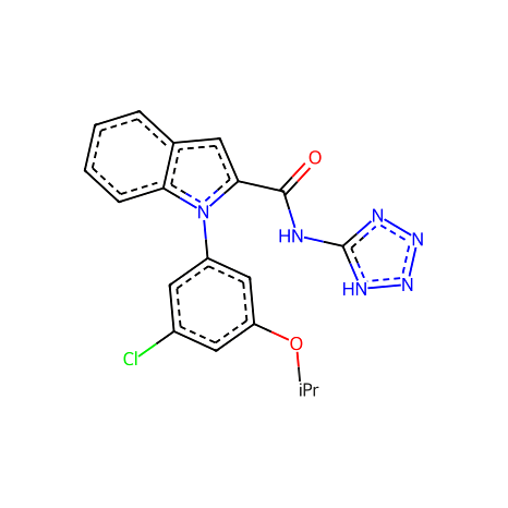 CC(C)Oc1cc(Cl)cc(-n2c(C(=O)Nc3nnn[nH]3)cc3ccccc32)c1